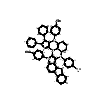 CC(C)(C)c1ccc(N2C3=C4B(c5oc(-c6ccccc6)c(-c6ccccc6)c52)c2c(c5c6c(ccc5n2-c2ccc(C(C)(C)C)cc2)-c2ccccc2C6)N(c2ccc(C(C)(C)C)cc2)[C@H]4CC=C3)cc1